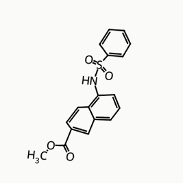 COC(=O)c1ccc2c(NS(=O)(=O)c3ccccc3)cccc2c1